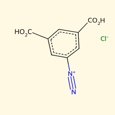 N#[N+]c1cc(C(=O)O)cc(C(=O)O)c1.[Cl-]